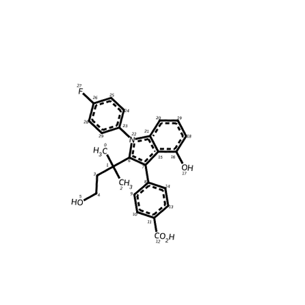 CC(C)(CCO)c1c(-c2ccc(C(=O)O)cc2)c2c(O)cccc2n1-c1ccc(F)cc1